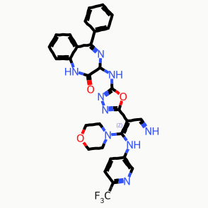 N=C/C(=C(\Nc1ccc(C(F)(F)F)nc1)N1CCOCC1)c1nnc(NC2N=C(c3ccccc3)c3ccccc3NC2=O)o1